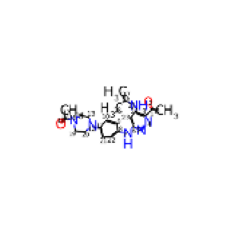 CC(=O)c1nnc(Nc2ccc(N3CCN(C(C)=O)CC3)cc2)cc1NC(C)C